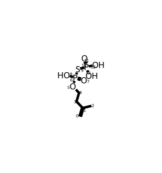 C=C(C)CCOP(=O)(O)SP(=O)(O)O